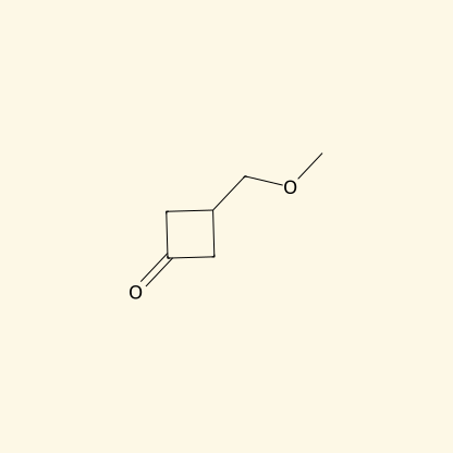 COCC1CC(=O)C1